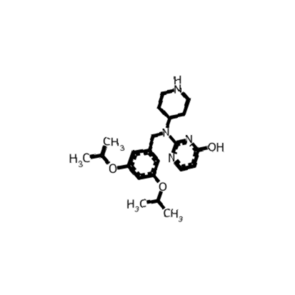 CC(C)Oc1cc(CN(c2nccc(O)n2)C2CCNCC2)cc(OC(C)C)c1